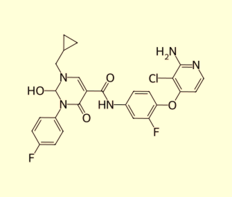 Nc1nccc(Oc2ccc(NC(=O)C3=CN(CC4CC4)C(O)N(c4ccc(F)cc4)C3=O)cc2F)c1Cl